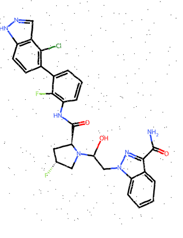 NC(=O)c1nn(CC(O)N2C[C@H](F)C[C@H]2C(=O)Nc2cccc(-c3ccc4[nH]ncc4c3Cl)c2F)c2ccccc12